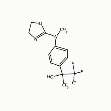 CN(C1=NCCO1)c1ccc(C(O)(C(F)(F)F)C(F)(F)Cl)cc1